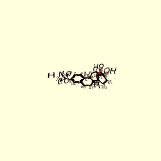 C[C@]12CC[C@@H]3c4ccc(OS(N)(=O)=O)cc4CC[C@H]3[C@@]13CC[C@@]2(O)[C@H](O)C3